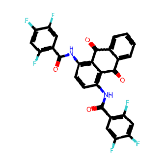 O=C(Nc1ccc(NC(=O)c2cc(F)c(F)cc2F)c2c1C(=O)c1ccccc1C2=O)c1cc(F)c(F)cc1F